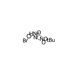 CC(C)(C)OC(=O)N1CCC2(CC1)N=C(c1cccc(Br)c1)NC2=O